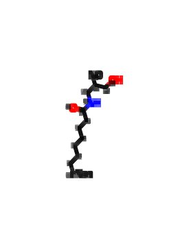 CCCCCCCCCCCCCCCC(=O)NCC(CO)N=O